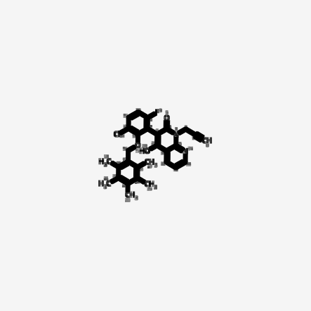 C#CCn1c(=O)c(-c2c(F)ccc(Cl)c2OCc2c(C)c(C)c(C)c(C)c2C)c(O)c2cccnc21